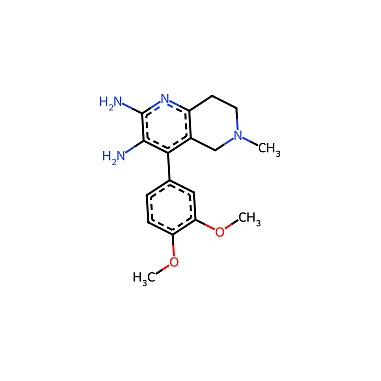 COc1ccc(-c2c(N)c(N)nc3c2CN(C)CC3)cc1OC